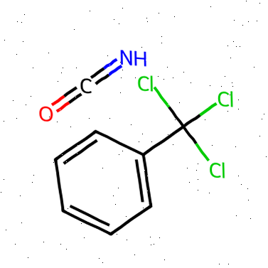 ClC(Cl)(Cl)c1ccccc1.N=C=O